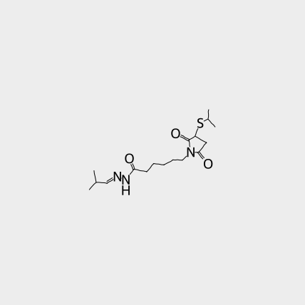 CC(C)/C=N/NC(=O)CCCCCN1C(=O)CC(SC(C)C)C1=O